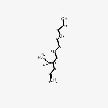 C=CCC(COCCOCCO)OC